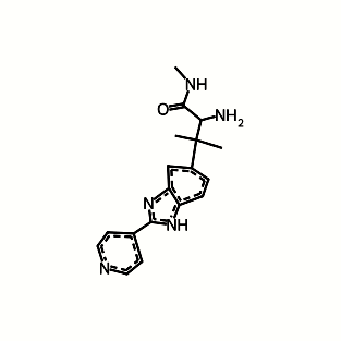 CNC(=O)C(N)C(C)(C)c1ccc2[nH]c(-c3ccncc3)nc2c1